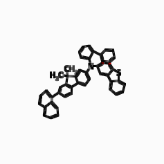 CC1(C)c2cc(-c3cccc4ccccc34)ccc2-c2ccc(N(c3ccc4sc5ccccc5c4c3)c3ccccc3-c3ccccc3)cc21